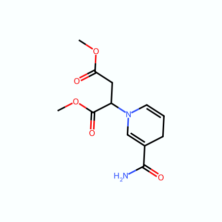 COC(=O)CC(C(=O)OC)N1C=CCC(C(N)=O)=C1